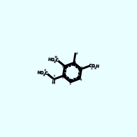 Cc1c(C(=O)O)ccc(NC(=O)O)c1C(=O)O